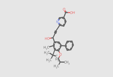 Cc1c(C(O)C#Cc2ccc(C(=O)O)cn2)cc(-c2ccccc2)c(OCC(C)C)c1C(C)(C)C